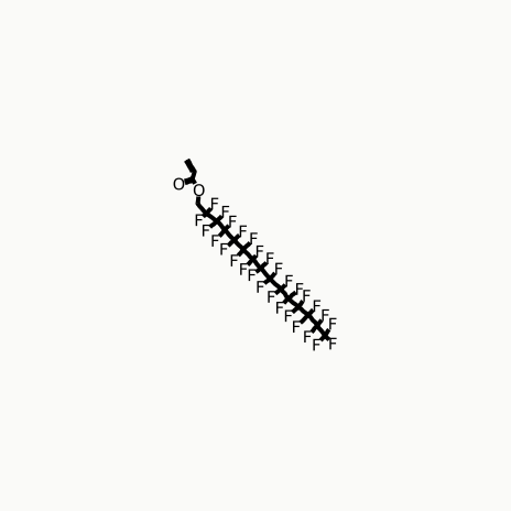 C=CC(=O)OCC(F)(F)C(F)(F)C(F)(F)C(F)(F)C(F)(F)C(F)(F)C(F)(F)C(F)(F)C(F)(F)C(F)(F)C(F)(F)C(F)(F)C(F)(F)C(F)(F)F